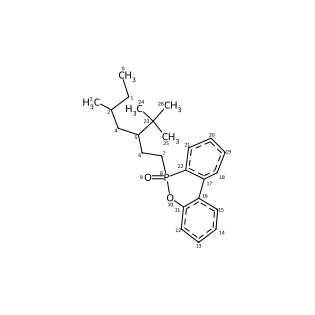 CCC(C)CC(CCP1(=O)Oc2ccccc2-c2ccccc21)C(C)(C)C